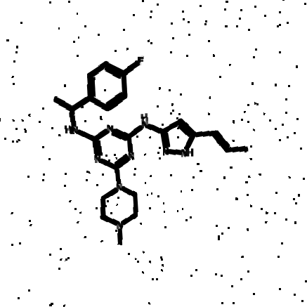 C/C=C/c1cc(Nc2nc(NC(C)c3ccc(F)cc3)nc(N3CCN(C)CC3)n2)n[nH]1